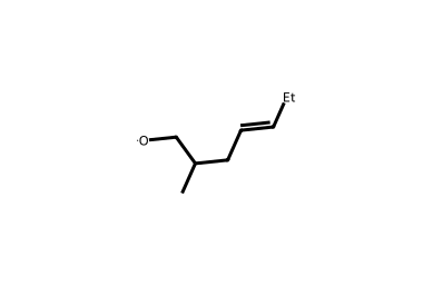 CC/C=C/CC(C)C[O]